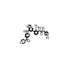 Cc1c(NC(=O)Nc2cc[nH]n2)cccc1-c1cc(Nc2ccc(C(=O)N3CCOCC3)cn2)c2nccn2c1